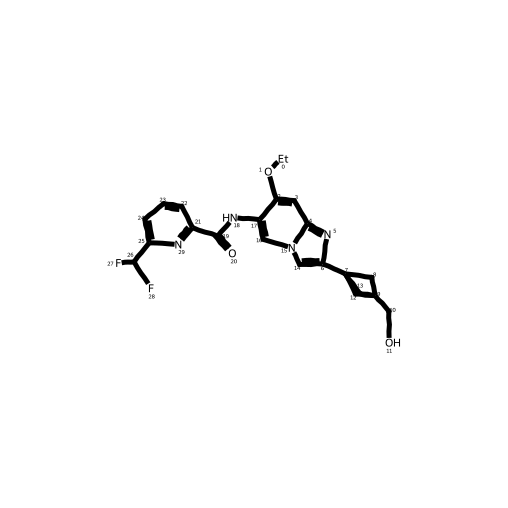 CCOc1cc2nc(C34CC(CO)(C3)C4)cn2cc1NC(=O)c1cccc(C(F)F)n1